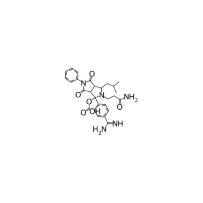 CC(C)CC1C2C(=O)N(c3ccccc3)C(=O)C2C(OC(=O)O)(c2ccc(C(=N)N)cc2)N1CCC(N)=O